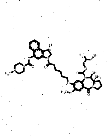 COc1cc2c(cc1OCCCCCC(=O)N1C[C@@H](Cl)c3c1cc(OC(=O)N1CCN(C)CC1)c1ccccc31)N(C(=O)OCC(C)SS)C(O)[C@]1(N)CCCN1C2=O